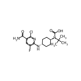 CC(C)(C)N(C(=O)O)[C@H]1CC[C@H](Nc2nc(Cl)c(C(N)=O)cc2F)CC1